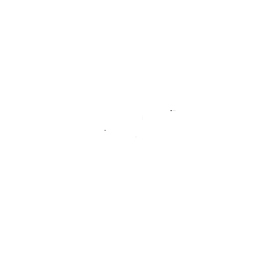 C=C(F)C(F)(F)F.CCl